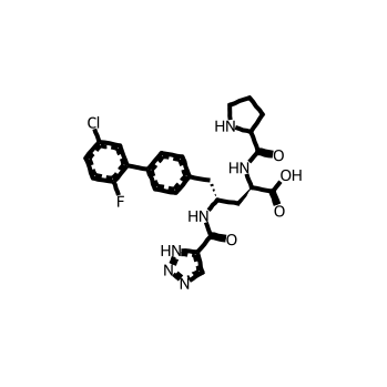 O=C(N[C@H](Cc1ccc(-c2cc(Cl)ccc2F)cc1)C[C@@H](NC(=O)C1CCCN1)C(=O)O)c1cnn[nH]1